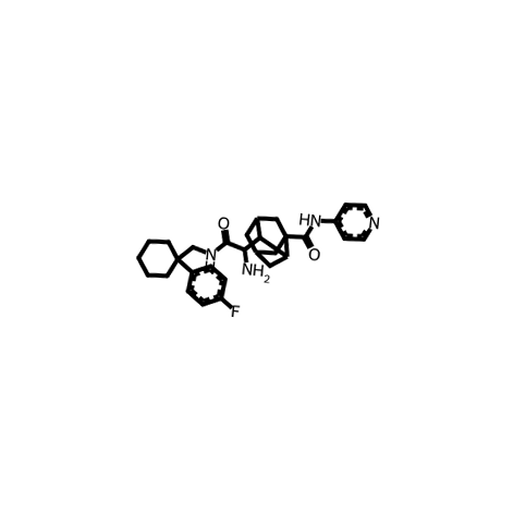 NC(C(=O)NCC1(c2ccc(F)cc2)CCCCC1)C1C2CC3CC1C(C(=O)Nc1ccncc1)(C3)C2